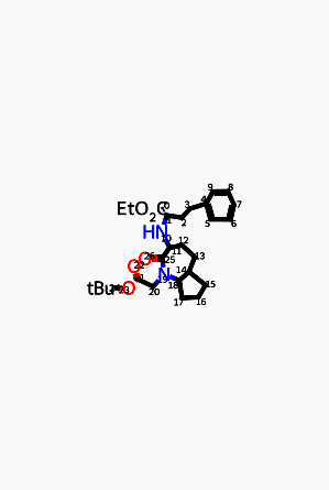 CCOC(=O)[C@H](CCc1ccccc1)NC1CCC2CCCC2N(CC(=O)OC(C)(C)C)C1=O